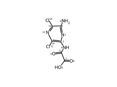 Nc1nc(NC(=O)C(=O)O)c(Cl)nc1Cl